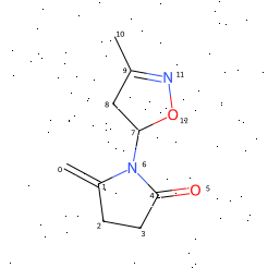 C=C1CCC(=O)N1C1CC(C)=NO1